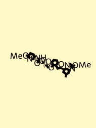 COc1ccc(NC(=O)OC[C@H]2COc3c(ccc4oc(-c5cc(C)cc6nc(OC)cnc56)cc34)O2)cn1